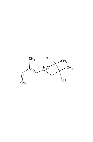 C=CC(C)=CCCC(C)(O)C(C)(C)C